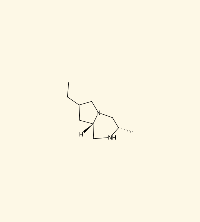 CCC1C[C@H]2CN[C@@H](C)CN2C1